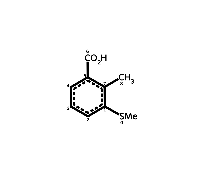 CSc1cccc(C(=O)O)c1C